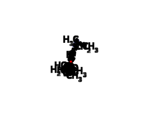 C=C(/C=C\C(=C/C)CCCCC)CCc1ccc(-c2ccc(C(COC(=O)C(C)(C)COC)COC(O)C(=C)CO)cc2)c(F)c1